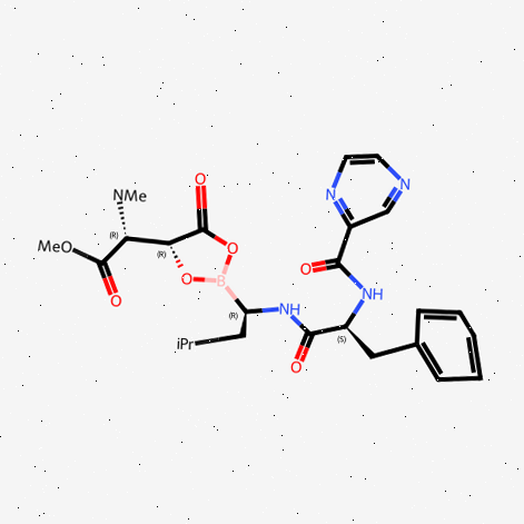 CN[C@@H](C(=O)OC)[C@H]1OB([C@H](CC(C)C)NC(=O)[C@H](Cc2ccccc2)NC(=O)c2cnccn2)OC1=O